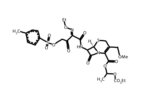 CCO/N=C(\C(=O)COS(=O)(=O)c1ccc(C)cc1)C(=O)NC1C(=O)N2C(C(=O)OC(C)OC(=O)OCC)=C(COC)CS[C@H]12